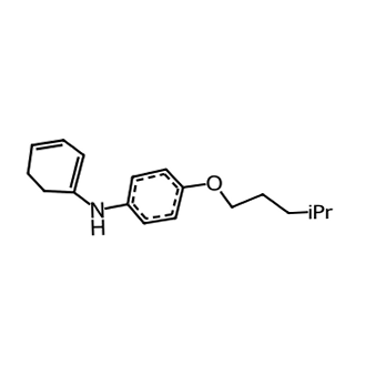 CC(C)CCCOc1ccc(NC2=CC=CCC2)cc1